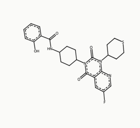 O=C(NC1CCC(n2c(=O)c3cc(F)cnc3n(C3CCSCC3)c2=O)CC1)c1ccccc1O